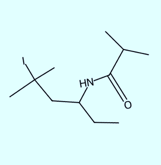 CCC(CC(C)(C)I)NC(=O)C(C)C